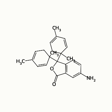 CC1=CCC(C)(C2(C3(C)C=CC(C)=CC3)OC(=O)c3cc(N)ccc32)C=C1